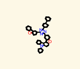 C1=CC2C(c3ccccc3N2c2ccccc2)c2c1oc1ccc(-c3nc(-c4ccc(-c5ccccc5)cc4)nc(-c4ccc5oc6ccccc6c5c4)n3)cc21